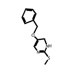 CSC1=NC=C(OCc2ccccc2)[CH]N1